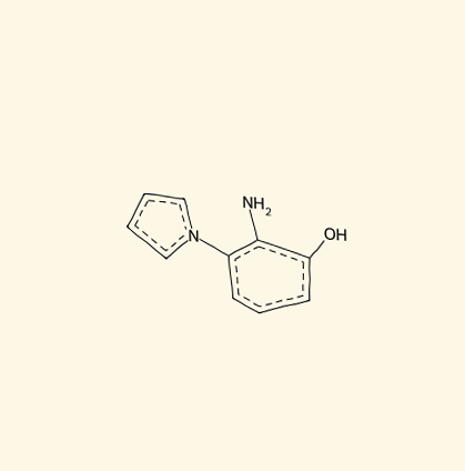 Nc1c(O)cccc1-n1cccc1